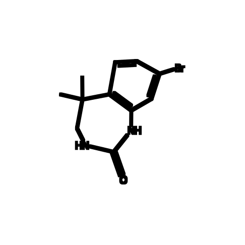 CC1(C)CNC(=O)Nc2cc(Br)ccc21